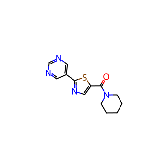 O=C(c1cnc(-c2cncnc2)s1)N1CCCCC1